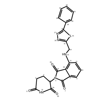 O=C1CCC(N2C(=O)c3cccc(NCc4nnc(-c5ccccc5)s4)c3C2=O)C(=O)N1